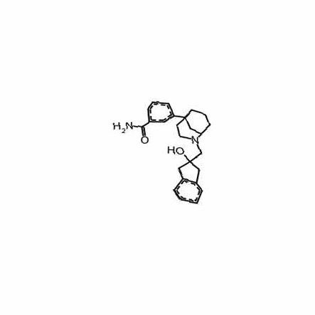 NC(=O)c1cccc(C23CCCC(C2)N(CC2(O)Cc4ccccc4C2)CC3)c1